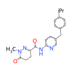 CC(C)c1ccc(Cc2ccc(NC(=O)C3=NN(C)C(=O)CC3)nc2)cc1